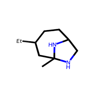 CCC1CCC2CNC(C)(C1)N2